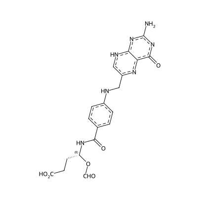 Nc1nc2[nH]cc(CNc3ccc(C(=O)N[C@@H](CCC(=O)O)OC=O)cc3)nc-2c(=O)n1